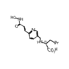 CC(C)C[C@H](NCc1ccc(C=CC(=O)NO)nc1)C(=O)O